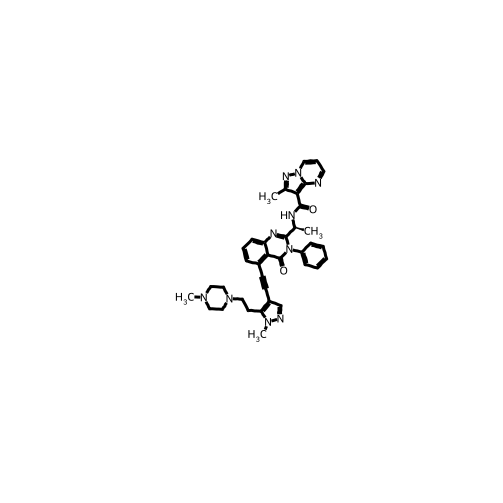 Cc1nn2cccnc2c1C(=O)N[C@@H](C)c1nc2cccc(C#Cc3cnn(C)c3CCN3CCN(C)CC3)c2c(=O)n1-c1ccccc1